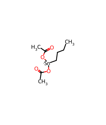 CCC[CH2][Sn]([O]C(C)=O)[O]C(C)=O